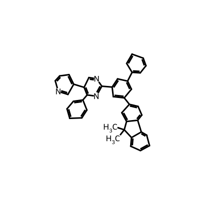 CC1(C)c2ccccc2-c2ccc(-c3cc(-c4ccccc4)cc(-c4ncc(-c5cccnc5)c(-c5ccccc5)n4)c3)cc21